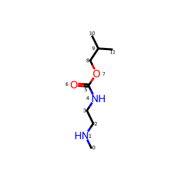 CNCCNC(=O)OCC(C)C